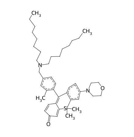 CCCCCCCCN(CCCCCCCC)Cc1ccc(C2=C3C=CC(=O)C=C3[Si](C)(C)c3cc(N4CCOCC4)ccc32)c(C)c1